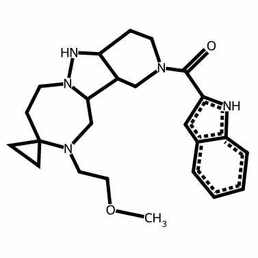 COCCN1CC2C3CN(C(=O)c4cc5ccccc5[nH]4)CCC3NN2CCC12CC2